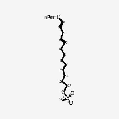 CCCCCC=CCC=CCCCCCCCCOS(C)(=O)=O